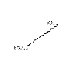 CCCCCCCC/C=C\CCCCCCC/C=C/CCCCCCCCC(=O)OCC